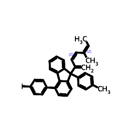 C=C(/C=C\C(C)=C/C)C1(c2ccc(C)cc2)c2ccccc2-c2c(-c3ccc(I)cc3)cccc21